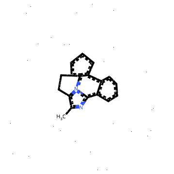 Cc1nc2c3ccccc3c3cccc4c3n2c1CC4